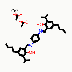 CC(=O)[O-].CC(=O)[O-].CCCCc1cc(C=Nc2ccc(N=Cc3cc(CCCC)cc(C(C)C)c3O)cc2)c(O)c(C(C)C)c1.[Co+2]